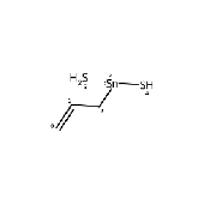 C=C[CH2][Sn][SH].S